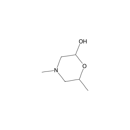 CC1CN(C)CC(O)O1